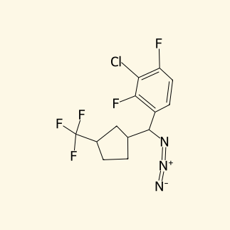 [N-]=[N+]=NC(c1ccc(F)c(Cl)c1F)C1CCC(C(F)(F)F)C1